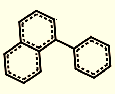 [c]1ccccc1-c1[c]ccc2ccccc12